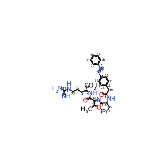 Cc1oc(C(CC(C)C)NC(=O)Cc2ccc(/N=N/c3ccccc3)cc2)nc1C(=O)N[C@@H](CCCNC(=N)N)C(=O)O